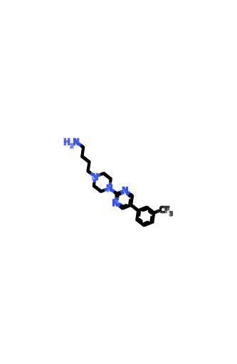 NCCCCN1CCN(c2ncc(-c3cccc(C(F)(F)F)c3)cn2)CC1